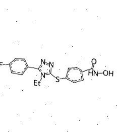 CCn1c(Sc2ccc(C(=O)NO)cc2)nnc1-c1ccc(F)cc1